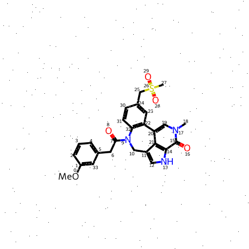 COc1cccc(CC(=O)N2Cc3c[nH]c4c(=O)n(C)cc(c34)-c3cc(CS(C)(=O)=O)ccc32)c1